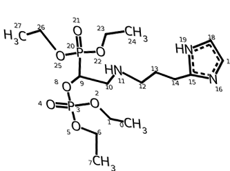 CCOP(=O)(OCC)OC(CNCCCc1ncc[nH]1)P(=O)(OCC)OCC